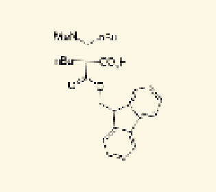 CCCCC(NC)C(CCCC)(C(=O)O)C(=O)OCC1c2ccccc2-c2ccccc21